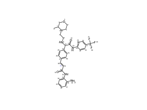 CC1COCCN1CCNC(C(=O)Nc1ccc(C(F)(F)F)cn1)c1ccc(/C=C/C(=O)Nc2ccccc2N)cc1